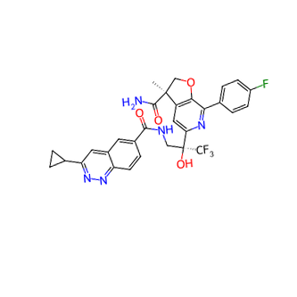 C[C@]1(C(N)=O)COc2c1cc([C@@](O)(CNC(=O)c1ccc3nnc(C4CC4)cc3c1)C(F)(F)F)nc2-c1ccc(F)cc1